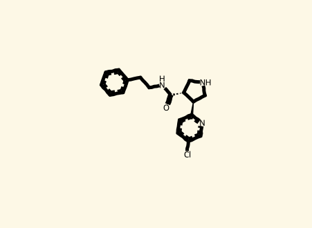 O=C(NCCc1ccccc1)[C@@H]1CNC[C@H]1c1ccc(Cl)cn1